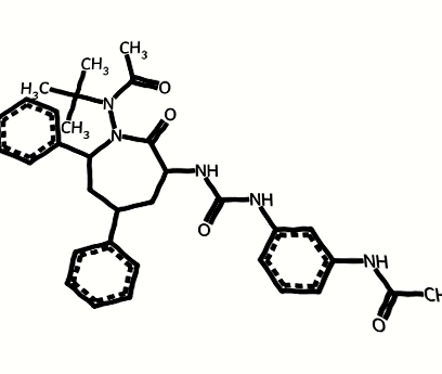 CC(=O)Nc1cccc(NC(=O)NC2CC(c3ccccc3)CC(c3ccccc3)N(N(C(C)=O)C(C)(C)C)C2=O)c1